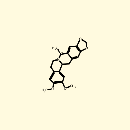 COc1cc2c(cc1OC)C1Cc3cc4c(cc3[C@H](C)N1CC2)OCO4